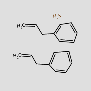 C=CCc1ccccc1.C=CCc1ccccc1.S